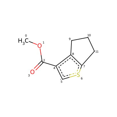 COC(=O)c1[c]sc2c1CCC2